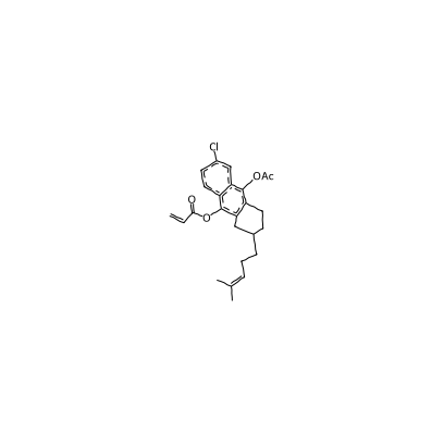 C=CC(=O)Oc1c2c(c(OC(C)=O)c3cc(Cl)ccc13)CCC(CCC=C(C)C)C2